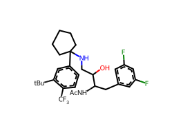 CC(=O)NC(Cc1cc(F)cc(F)c1)C(O)CNC1(c2ccc(C(F)(F)F)c(C(C)(C)C)c2)CCCCC1